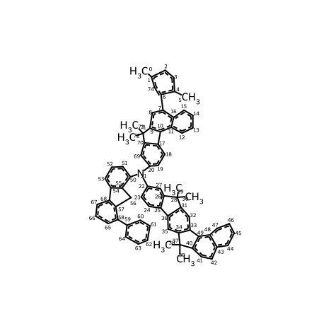 Cc1ccc(C)c(-c2cc3c(c4ccccc24)-c2ccc(N(c4ccc5c(c4)C(C)(C)c4cc6c(cc4-5)C(C)(C)c4ccc5ccccc5c4-6)c4cccc5c4Cc4c(-c6ccccc6)cccc4-5)cc2C3(C)C)c1